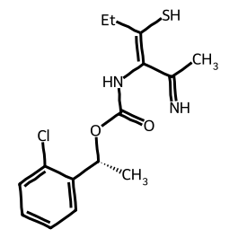 CC/C(S)=C(\NC(=O)O[C@H](C)c1ccccc1Cl)C(C)=N